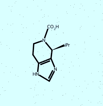 CC(C)[C@H]1c2nc[nH]c2CCN1C(=O)O